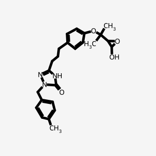 Cc1ccc(Cn2nc(CCCc3ccc(OC(C)(C)C4OC4O)cc3)[nH]c2=O)cc1